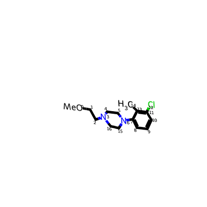 COCCN1CCN(c2cccc(Cl)c2C)CC1